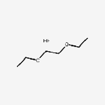 CCOCCOCC.F